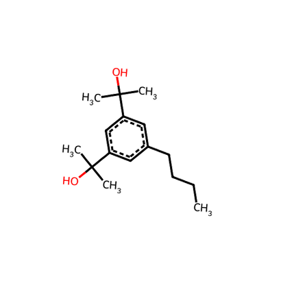 CCCCc1cc(C(C)(C)O)cc(C(C)(C)O)c1